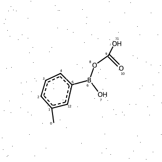 Cc1cccc(B(O)OC(=O)O)c1